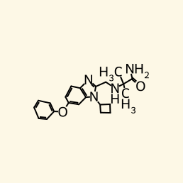 CC(C)(NCc1nc2ccc(Oc3ccccc3)cc2n1C1CCC1)C(N)=O